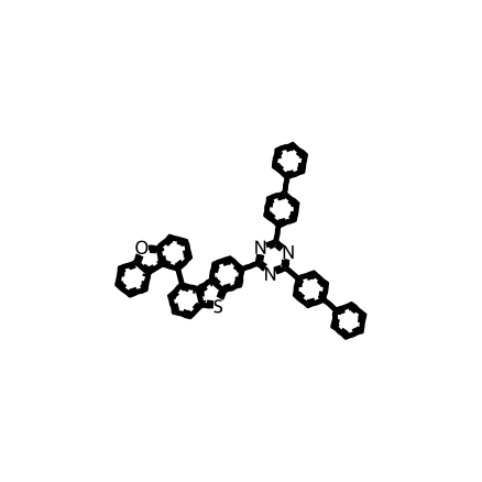 c1ccc(-c2ccc(-c3nc(-c4ccc(-c5ccccc5)cc4)nc(-c4ccc5c(c4)sc4cccc(-c6cccc7oc8ccccc8c67)c45)n3)cc2)cc1